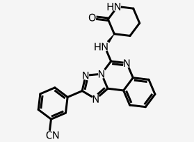 N#Cc1cccc(-c2nc3c4ccccc4nc(N[C@@H]4CCCNC4=O)n3n2)c1